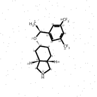 C[C@H](O[C@@H]1CC[C@@H]2CNC[C@@H]2C1)c1cc(C(F)(F)F)cc(C(F)(F)F)c1